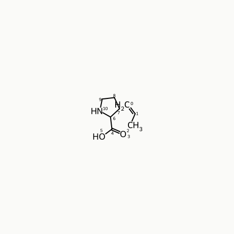 C=CC.O=C(O)C1CCCN1